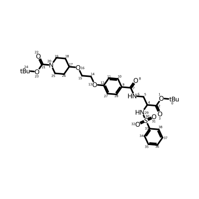 CC(C)(C)OC(=O)C(CNC(=O)c1ccc(OCCOC2CCN(C(=O)OC(C)(C)C)CC2)cc1)NS(=O)(=O)c1ccccc1